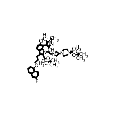 Cc1nn(C)c(C)c1-c1c(Cl)ccc2c(CCCOc3cccc4cc(F)ccc34)c(C(=O)OC(C)(C)C)n(CCN3CC(N4CCN(C(=O)OC(C)(C)C)CC4)C3)c12